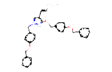 CCOC(=O)/C=C/c1cn(Cc2ccc(OCc3ccccc3)cc2)nc1OCc1ccc(OCc2ccccc2)cc1